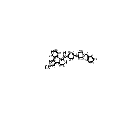 CCn1cc(-c2ccnc(Nc3ccc(N4CCN(Cc5ccccc5)CC4)cc3)n2)c(-c2cccnc2)n1